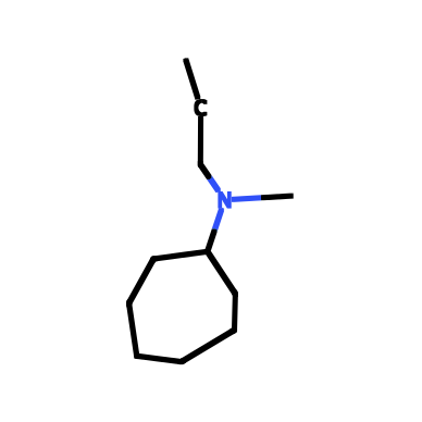 CCCN(C)C1CCCCCC1